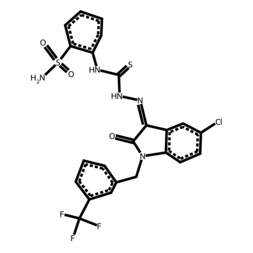 NS(=O)(=O)c1ccccc1NC(=S)NN=C1C(=O)N(Cc2cccc(C(F)(F)F)c2)c2ccc(Cl)cc21